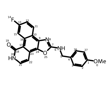 COc1ccc(CNc2nc3c4ccc(F)cc4c4c(=O)[nH]ccc4c3o2)cc1